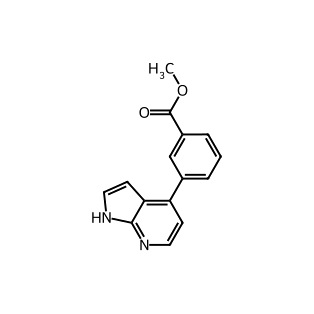 COC(=O)c1cccc(-c2ccnc3[nH]ccc23)c1